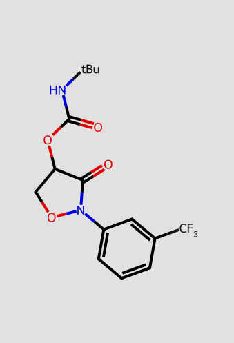 CC(C)(C)NC(=O)OC1CON(c2cccc(C(F)(F)F)c2)C1=O